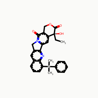 CC[C@@]1(O)C(=O)OCc2c1cc1n(c2=O)Cc2cc3cccc([Si](C)(C)c4ccccc4)c3nc2-1